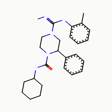 Cc1ccccc1N/C(=N/C#N)N1CCN(C(=O)NC2CCCCC2)C(c2ccccc2)C1